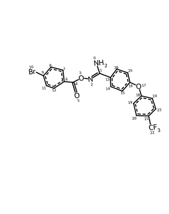 NC(=NOC(=O)c1ccc(Br)cc1)c1ccc(Oc2ccc(C(F)(F)F)cc2)cc1